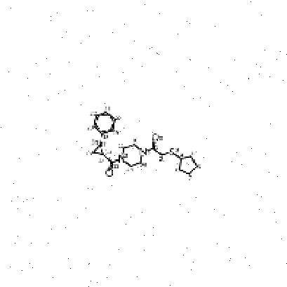 O=C(CSC1CCCC1)N1CCN(C(=O)[C@H]2C[C@H]2c2ccccc2)CC1